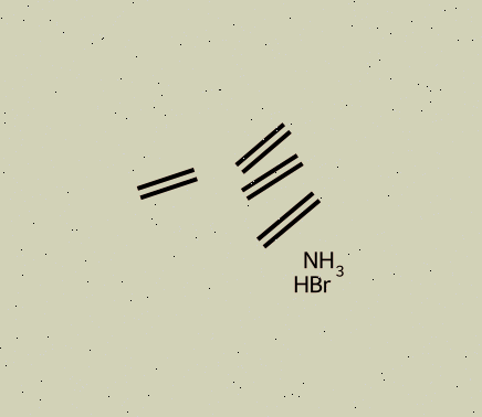 Br.C=C.C=C.C=C.C=C.N